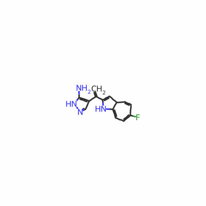 C=C(C1=CC2C=CC(F)=CC=C2N1)c1cn[nH]c1N